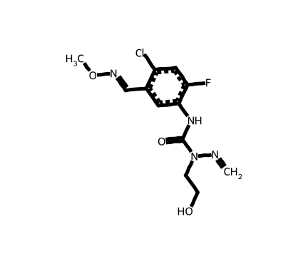 C=NN(CCO)C(=O)Nc1cc(C=NOC)c(Cl)cc1F